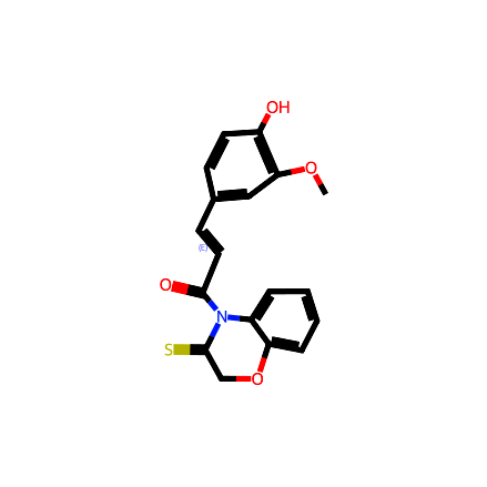 COc1cc(/C=C/C(=O)N2C(=S)COc3ccccc32)ccc1O